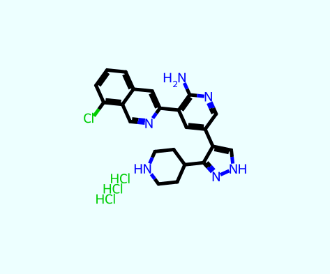 Cl.Cl.Cl.Nc1ncc(-c2c[nH]nc2C2CCNCC2)cc1-c1cc2cccc(Cl)c2cn1